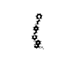 Cc1ccnc2c(OC3CCN(CCc4ccc(OCCCN5CCCCCC5)cc4)CC3)cccc12